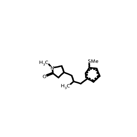 CSc1cccc(CC(C)CC2CC(=O)N(C)C2)c1